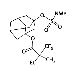 CCC(C)(C(=O)OC12CC3CC(C1)CC(OS(=O)(=O)NC)(C3)C2)C(F)(F)F